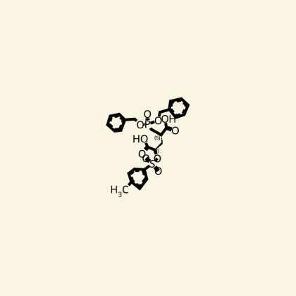 Cc1ccc(S(=O)(=O)O[C@H](C[C@H](CP(=O)(OCc2ccccc2)OCc2ccccc2)C(=O)O)C(=O)O)cc1